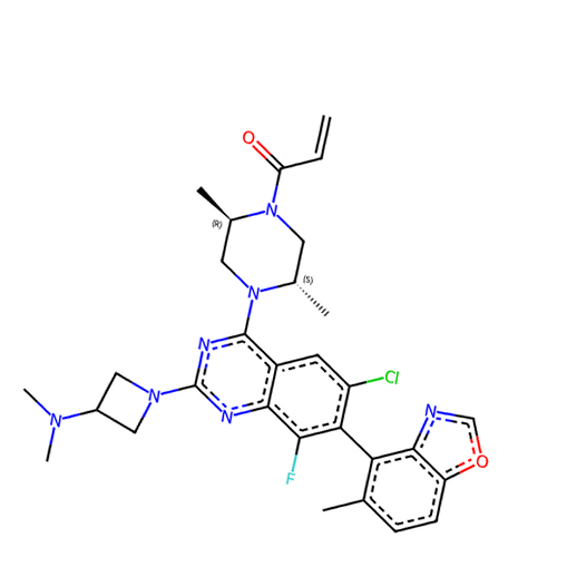 C=CC(=O)N1C[C@H](C)N(c2nc(N3CC(N(C)C)C3)nc3c(F)c(-c4c(C)ccc5ocnc45)c(Cl)cc23)C[C@H]1C